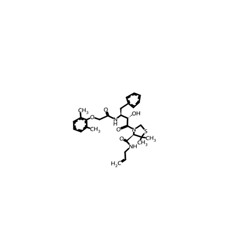 C=CCNC(=O)[C@H]1N(C(=O)[C@@H](O)[C@H](Cc2ccccc2)NC(=O)COc2c(C)cccc2C)CSC1(C)C